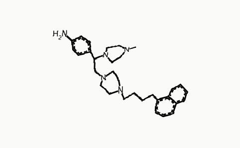 CN1CCN(C(CN2CCN(CCCCc3cccc4ccccc34)CC2)c2ccc(N)cc2)CC1